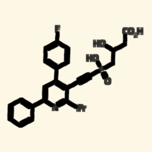 CC(C)c1nc(-c2ccccc2)cc(-c2ccc(F)cc2)c1C#CP(=O)(O)CC(O)CC(=O)O